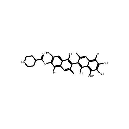 Cc1cc2c(C(C)C)c(OC(=O)C3CCNCC3)c(O)cc2c(O)c1-c1c(C)cc2c(C(C)C)c(O)c(O)c(C=O)c2c1O